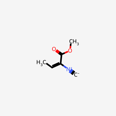 [C-]#[N+]C(=CC)C(=O)OC